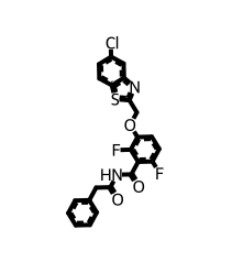 O=C(Cc1ccccc1)NC(=O)c1c(F)ccc(OCc2nc3cc(Cl)ccc3s2)c1F